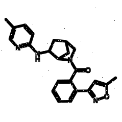 Cc1ccc(NC2CC3CC2N(C(=O)c2ccccc2-c2cc(C)on2)C3)nc1